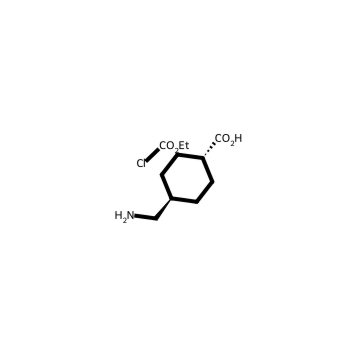 CCOC(=O)Cl.NC[C@H]1CC[C@H](C(=O)O)CC1